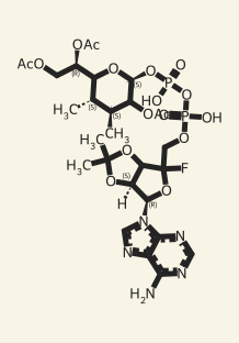 CC(=O)OC[C@@H](OC(C)=O)C1O[C@@H](OP(=O)(O)OP(=O)(O)OCC2(F)O[C@@H](n3cnc4c(N)ncnc43)[C@H]3OC(C)(C)OC32)C(OC(C)=O)[C@@H](C)[C@@H]1C